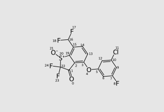 O=C1c2c(Oc3cc(F)cc(Cl)c3)ccc(C(F)F)c2[S+]([O-])C1(F)F